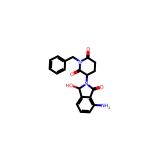 Nc1cccc2c1C(=O)N(C1CCC(=O)N(Cc3ccccc3)C1=O)C2O